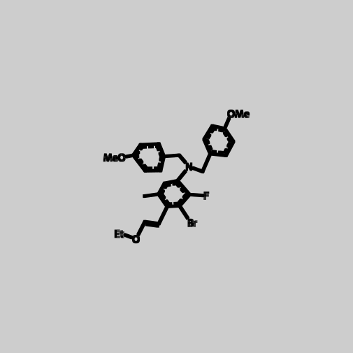 CCOC=Cc1c(C)cc(N(Cc2ccc(OC)cc2)Cc2ccc(OC)cc2)c(F)c1Br